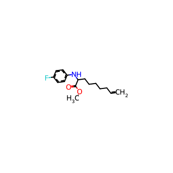 C=CCCCCCC(Nc1ccc(F)cc1)C(=O)OC